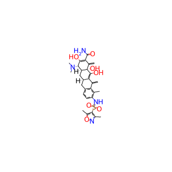 C=C1C2=C(O)[C@]3(O)C(=C)C(C(N)=O)=C(O)[C@@H](N(C)C)[C@@H]3C[C@@H]2Cc2ccc(NS(=O)(=O)c3c(C)noc3C)c(C)c21